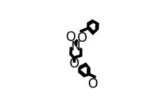 O=Cc1ccc(OC2CCN(C(=O)OCc3ccccc3)CC2)cc1